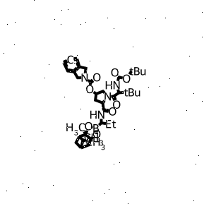 CCC(NC(=O)C1CC(OC(=O)N2Cc3ccccc3C2)CN1C(=O)C(NC(=O)OC(C)(C)C)C(C)(C)C)B1OC2CC3CC(C3(C)C)C2(C)O1